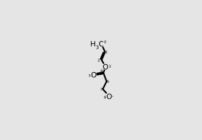 CC=COC(=O)CC[O]